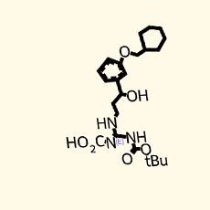 CC(C)(C)OC(=O)N/C(=N/C(=O)O)NCCC(O)c1cccc(OCC2CCCCC2)c1